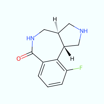 O=C1NC[C@H]2CNC[C@@H]2c2c(F)cccc21